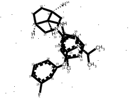 CC(C)n1nc(N[C@@H]2[C@@H]3CC[C@H]2CN(c2cc(Cl)ncn2)C3)nc1Oc1cccc(F)c1